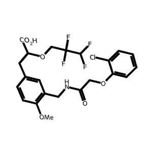 COc1ccc(CC(OCC(F)(F)C(F)F)C(=O)O)cc1CNC(=O)COc1ccccc1Cl